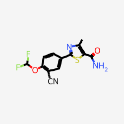 Cc1nc(-c2ccc(OC(F)F)c(C#N)c2)sc1C(N)=O